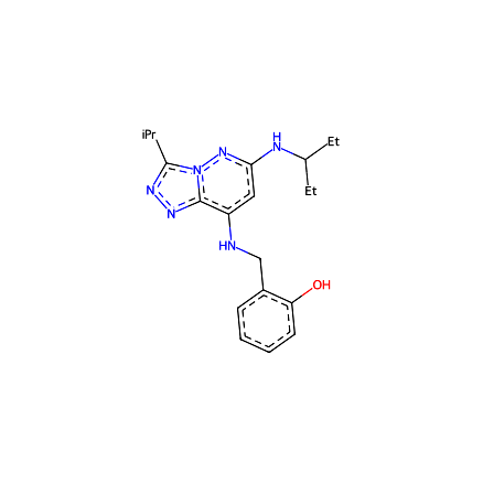 CCC(CC)Nc1cc(NCc2ccccc2O)c2nnc(C(C)C)n2n1